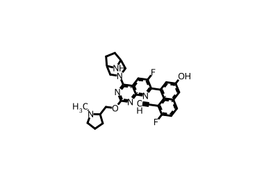 C#Cc1c(F)ccc2cc(O)cc(-c3nc4nc(OCC5CCCN5C)nc(N5CC6CCC(C5)N6)c4cc3F)c12